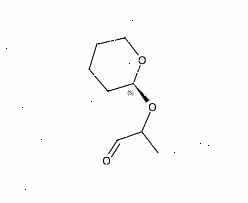 CC(C=O)O[C@H]1CCCCO1